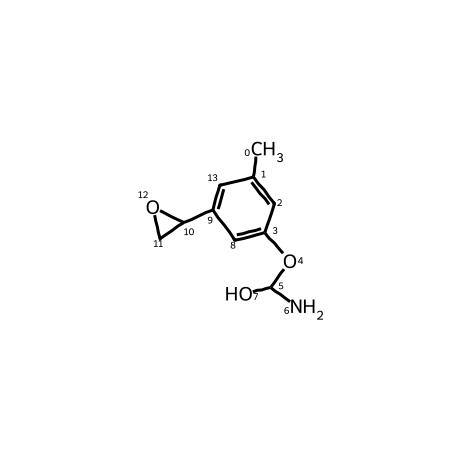 Cc1cc(OC(N)O)cc(C2CO2)c1